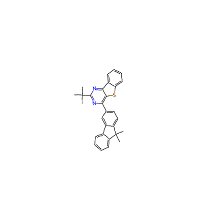 CC(C)(C)c1nc(-c2ccc3c(c2)-c2ccccc2C3(C)C)c2sc3ccccc3c2n1